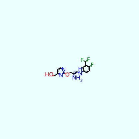 N/C(=C\Nc1ccc(F)c(C(F)F)c1)COc1nccc(CO)n1